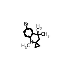 CN1c2ccc(Br)cc2C(C)(C)CC12CC2